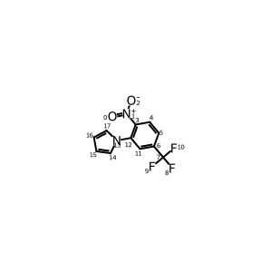 O=[N+]([O-])c1ccc(C(F)(F)F)cc1-n1cccc1